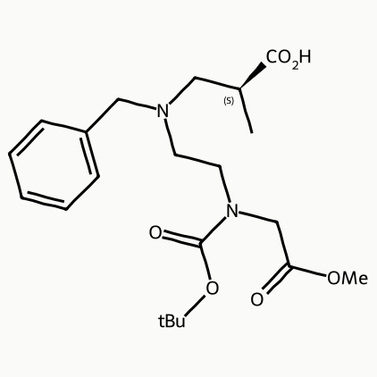 COC(=O)CN(CCN(Cc1ccccc1)C[C@H](C)C(=O)O)C(=O)OC(C)(C)C